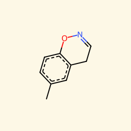 Cc1ccc2c(c1)CC=NO2